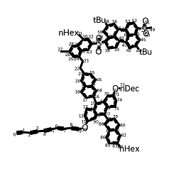 C#CC#CC#CC#CC#COc1ccc2c(-c3ccc4cc(CCc5cc(C)cc6c(CCCCCC)cc(S(=O)(=O)c7ccc8c9cc(C(C)(C)C)cc%10c(S(C)(=O)=O)ccc(c%11cc(C(C)(C)C)cc7c8%11)c%109)cc56)ccc4c3)c3cc(OCCCCCCCCCC)ccc3c(-c3ccc4cc(CCCCCC)ccc4c3)c2c1